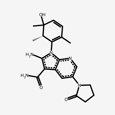 CC1=C(n2c(N)c(C(N)=O)c3cc(N4CCCC4=O)cnc32)[C@H](C)C(C)(O)C=C1